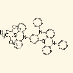 CC(C)[Si]1(C(C)C)c2ccccc2N(c2ccc3c(c2)N(c2ccccc2)c2cccc4c2B3c2ccccc2N4c2ccccc2)c2ccccc21